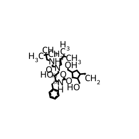 C=CC1CC(CO)C(OC(=O)N[C@@H](Cc2ccccc2)[C@H](O)CN(CCC(C)C)C(=O)NCC(C)(C)C)C1CO